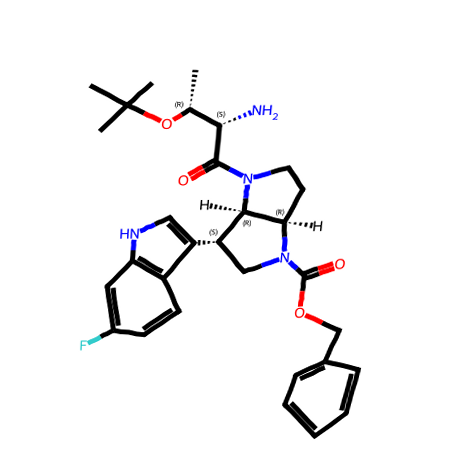 C[C@@H](OC(C)(C)C)[C@H](N)C(=O)N1CC[C@@H]2[C@H]1[C@@H](c1c[nH]c3cc(F)ccc13)CN2C(=O)OCc1ccccc1